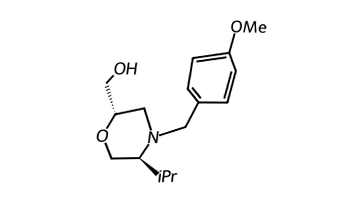 COc1ccc(CN2C[C@@H](CO)OC[C@@H]2C(C)C)cc1